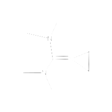 CN(C)C(N(C)C)=S1CC1